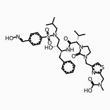 CC(C)CN(C[C@@H](O)[C@H](Cc1ccccc1)NC(=O)[C@H](C(C)C)N1CCN(Cc2csc(CN(C)C(=O)O)n2)C1=O)S(=O)(=O)c1ccc(C=NO)cc1